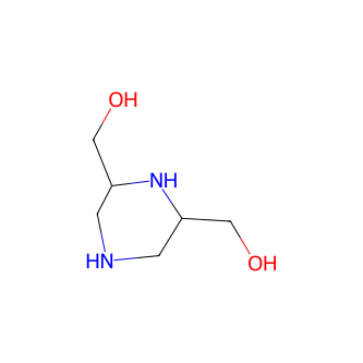 OCC1CNCC(CO)N1